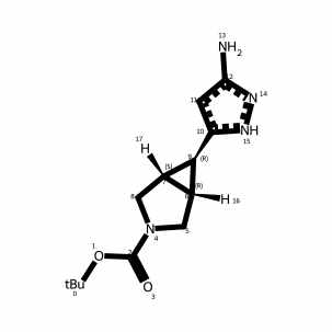 CC(C)(C)OC(=O)N1C[C@@H]2[C@H](C1)[C@H]2c1cc(N)n[nH]1